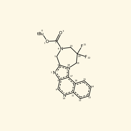 CC(C)(C)OC(=O)N1Cc2nc3cnc4ccccc4c3n2CC(F)(F)C1